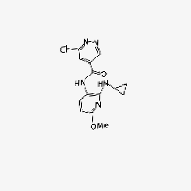 COc1ccc(NC(=O)c2cnnc(Cl)c2)c(NC2CC2)n1